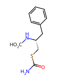 NC(=O)SC[C@@H](Cc1ccccc1)NC(=O)O